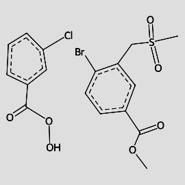 COC(=O)c1ccc(Br)c(CS(C)(=O)=O)c1.O=C(OO)c1cccc(Cl)c1